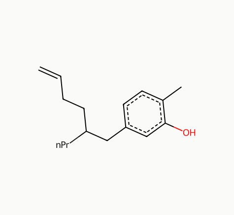 C=CCCC(CCC)Cc1ccc(C)c(O)c1